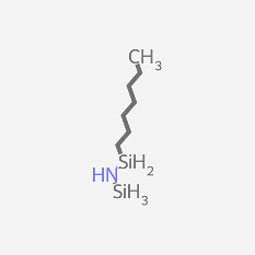 CCCCCCC[SiH2]N[SiH3]